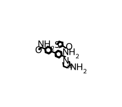 NC(=O)c1ccc(-c2ccc(CN3CCC[C@H](N)C3)cc2)cc1.NC(=O)c1ccsc1